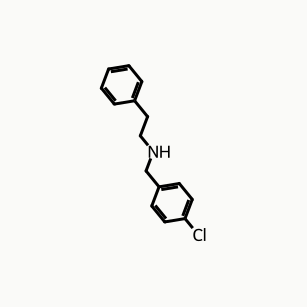 Clc1ccc(CNCCc2ccccc2)cc1